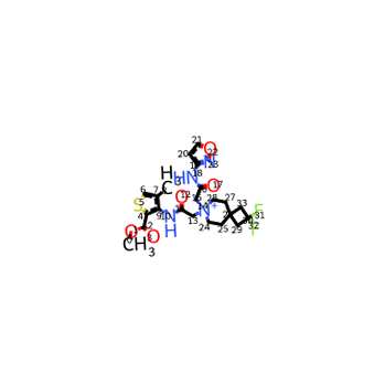 COC(=O)c1scc(C)c1NC(=O)C[N+]1(CC(=O)Nc2ccon2)CCC2(CC1)CC(F)(F)C2